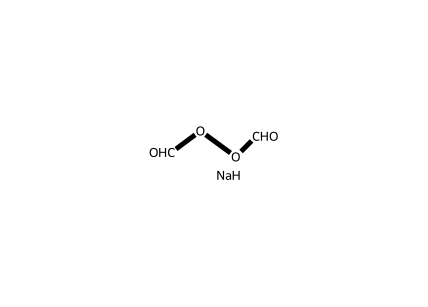 O=COOC=O.[NaH]